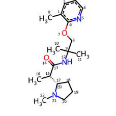 Cc1cccnc1OCC(C)(C)NC(=O)C(C)[C@@H]1CCCN1C